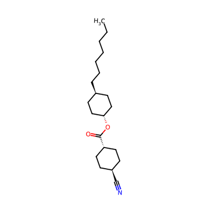 CCCCCCC[C@H]1CC[C@H](OC(=O)[C@H]2CC[C@H](C#N)CC2)CC1